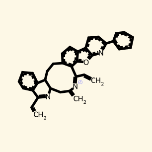 C=CC1=NC2CC(=C)/N=C(/C=C)c3c(ccc4c3oc3nc(-c5ccccc5)ccc34)CCC2c2ccccc21